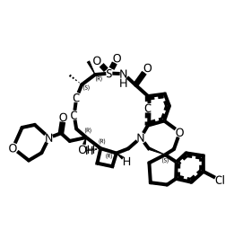 C[C@@H]1[C@@H](C)CCC[C@@](O)(CC(=O)N2CCOCC2)[C@@H]2CC[C@H]2CN2C[C@@]3(CCCc4cc(Cl)ccc43)COc3ccc(cc32)C(=O)NS1(=O)=O